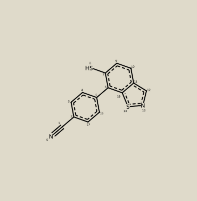 N#Cc1ccc(-c2c(S)ccc3cnsc23)cc1